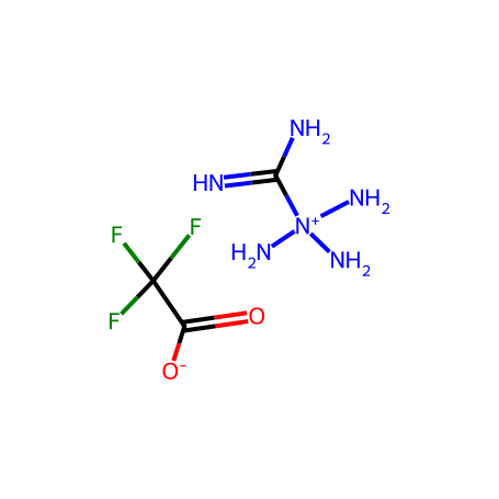 N=C(N)[N+](N)(N)N.O=C([O-])C(F)(F)F